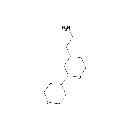 NCCC1CCOC(C2CCOCC2)C1